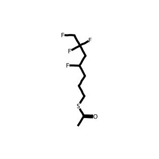 CC(=O)SCCCC(F)CC(F)(F)CF